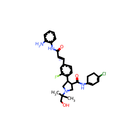 CC(C)(CO)N1CC(C(=O)NC2=CC=C(Cl)CC2)C(c2ccc(/C=C/C(=O)Nc3ccccc3N)cc2F)C1